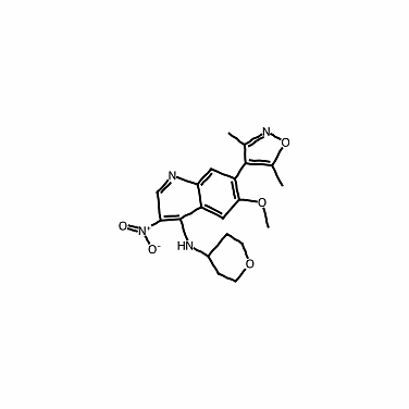 COc1cc2c(NC3CCOCC3)c([N+](=O)[O-])cnc2cc1-c1c(C)noc1C